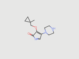 CC1(COC2=C(N3CCNCC3)C=NC2=O)CC1